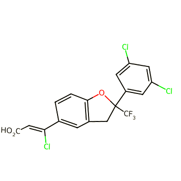 O=C(O)C=C(Cl)c1ccc2c(c1)CC(c1cc(Cl)cc(Cl)c1)(C(F)(F)F)O2